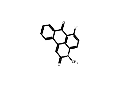 Cn1c(=O)cc2c3c(c(Br)ccc31)C(=O)c1ccccc1-2